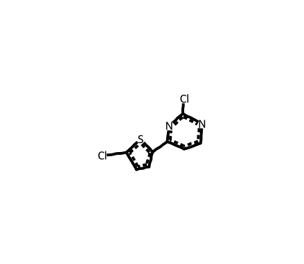 Clc1nccc(-c2ccc(Cl)s2)n1